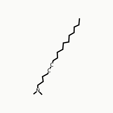 CCCCCCCCCCCCCCCCCN(C)C